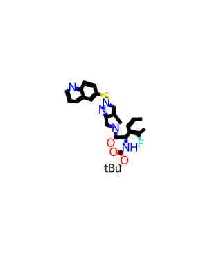 C/C=C\C(=C(/C)F)C(NC(=O)OC(C)(C)C)C(=O)N1Cc2cn(Sc3ccc4ncccc4c3)nc2C1